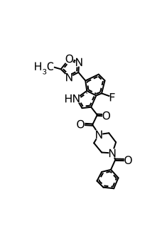 Cc1nc(-c2ccc(F)c3c(C(=O)C(=O)N4CCN(C(=O)c5ccccc5)CC4)c[nH]c23)no1